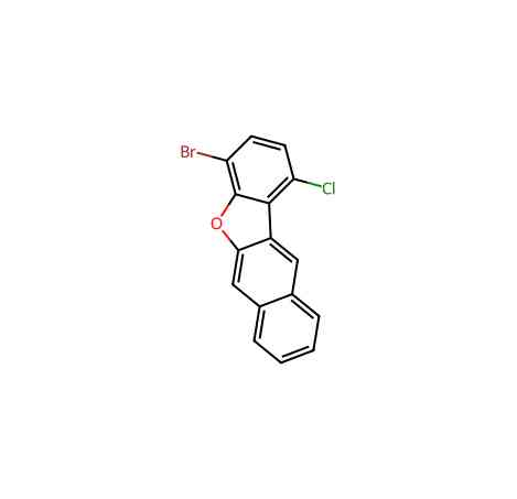 Clc1ccc(Br)c2oc3cc4ccccc4cc3c12